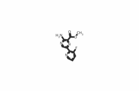 COC(=O)c1nc(-c2ncccc2F)cnc1N